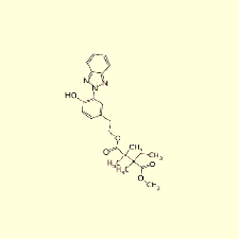 CCC(C)(C(=O)OC)C(C)(C)C(=O)OCCc1ccc(O)c(-n2nc3ccccc3n2)c1